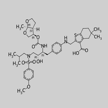 COc1ccc(S(=O)(=O)N(CC(C)C)C[C@@H](O)[C@H](Cc2ccc(NCc3sc4c(c3C(=O)O)CC(C)(C)CC4)cc2)NC(=O)O[C@H]2CO[C@@]3(C)OCC[C@@H]23)cc1